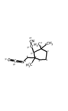 CC1(C)CCCC(C)(CN=C=O)C1OC#N